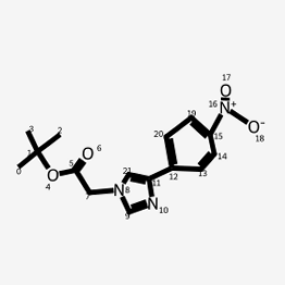 CC(C)(C)OC(=O)Cn1cnc(-c2ccc([N+](=O)[O-])cc2)c1